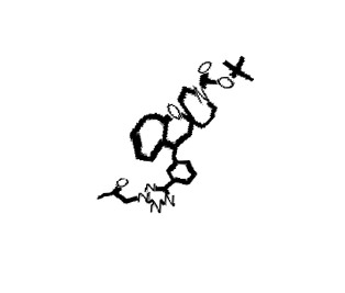 CC(=O)Cn1nnc(-c2cccc(C3=CC4(CCN(C(=O)OC(C)(C)C)CC4)Oc4ccccc43)c2)n1